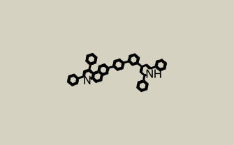 C1=C(c2cccc(-c3ccc(-c4ccc5c(ccc6nc(-c7ccccc7)cc(-c7ccccc7)c65)c4)cc3)c2)C=C(c2ccccc2)NC1c1ccccc1